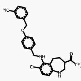 N#Cc1cccc(COc2ccc(CNc3c(Cl)ccc4c3CCC(C(=O)C(F)(F)F)CN4)cc2)c1